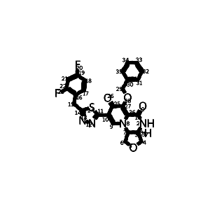 O=C1N[C@H]2COCC2n2cc(-c3nnc(Cc4ccc(F)cc4F)s3)c(=O)c(OCc3ccccc3)c21